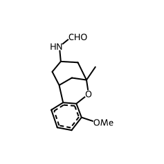 COc1cccc2c1OC1(C)CC(NC=O)CC2C1